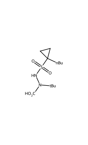 CCCCC1(S(=O)(=O)NN(C(=O)O)C(C)(C)C)CC1